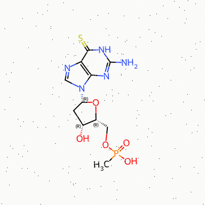 CP(=O)(O)OC[C@H]1O[C@@H](n2cnc3c(=S)[nH]c(N)nc32)C[C@H]1O